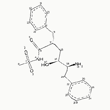 CS(=O)(=O)NC(=O)[C@H](Cc1ccccc1)C[C@H](O)[C@@H](N)Cc1ccccc1